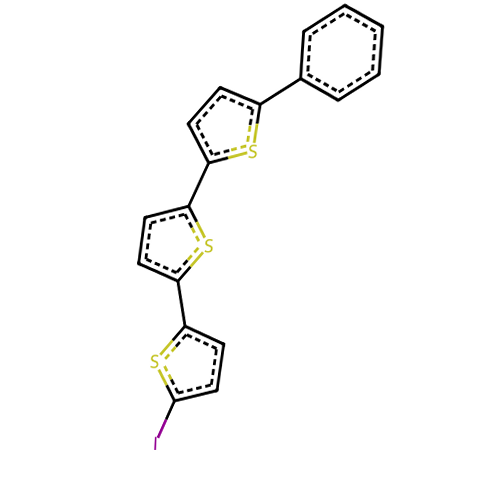 Ic1ccc(-c2ccc(-c3ccc(-c4ccccc4)s3)s2)s1